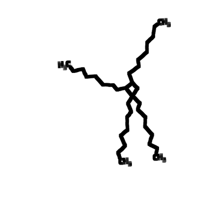 CCCCCCCCC1CC(CCCCCCCC)(CCCCCCCC)C1CCCCCCCC